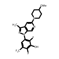 COC1CCN(c2cc3c(C)nn(-c4cc(C(F)(F)F)c(F)c(O)c4F)c3cn2)CC1